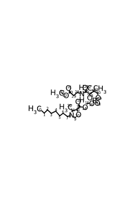 CCCCCCCCN1COC(C(=O)OCOP2(=O)OCC(C)(C)[C@H](C(=O)NCCC(=O)OC)O2)C1C